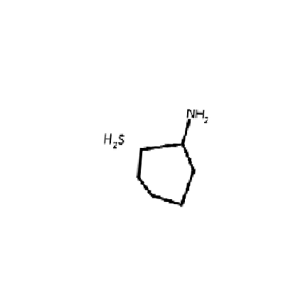 NC1CCCCC1.S